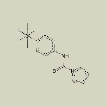 O=C(Nc1ccc(S(I)(I)(I)(I)I)cc1)n1cccn1